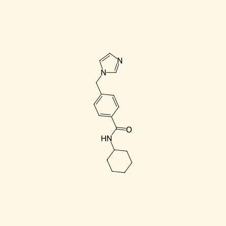 O=C(NC1CCCCC1)c1ccc(Cn2ccnc2)cc1